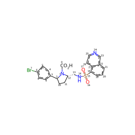 O=C(O)N1C(c2ccc(Br)cc2)CC[C@H]1CNS(=O)(=O)c1cccc2cnccc12